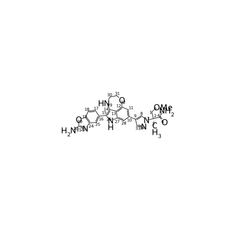 COC[C@@](C)(C(N)=O)n1cc(-c2cc3c4c(c(-c5ccc6oc(N)nc6c5)[nH]c4c2)NCCO3)cn1